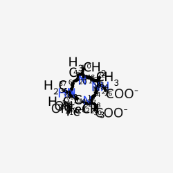 C=CC1=C(C)c2cc3[nH]c(cc4nc(cc5[nH]c(cc1n2)c(C)c5CCC(=O)[O-])C(CCC(=O)[O-])=C4C)c(C)c3C=C.O=[N][Fe+].O=[N][Fe+]